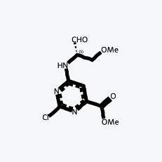 COC[C@@H](C=O)Nc1cc(C(=O)OC)nc(Cl)n1